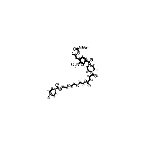 CNC(=O)OC(C)Cc1ccc(C(=O)N2CCN(C(=O)CCC(=O)OCCOCCOCCOC(=O)N3CCN(C)CC3)CC2)cc1[N+](=O)[O-]